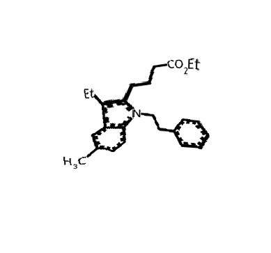 CCOC(=O)CCCc1c(CC)c2cc(C)ccc2n1CCc1ccccc1